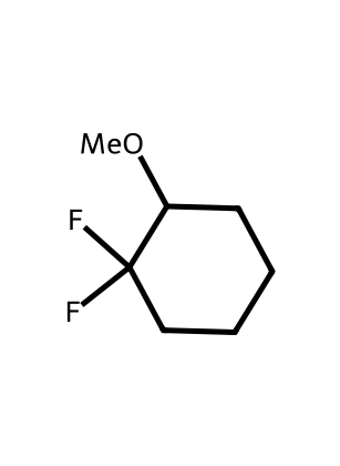 COC1CCCCC1(F)F